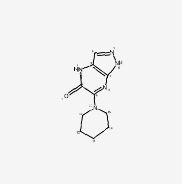 O=c1[nH]c2[c]n[nH]c2nc1N1CCCCC1